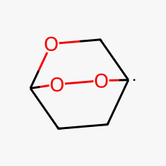 C1CC2OC[C]1OO2